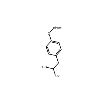 [CH2]CCC(O)Cc1ccc(OCCCCC)cc1